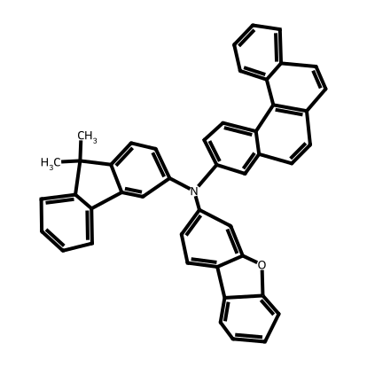 CC1(C)c2ccccc2-c2cc(N(c3ccc4c(ccc5ccc6ccccc6c54)c3)c3ccc4c(c3)oc3ccccc34)ccc21